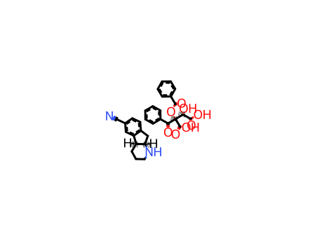 N#Cc1ccc2c(c1)[C@H]1CCCN[C@H]1C2.O=C(O[C@@](C(=O)O)(C(=O)c1ccccc1)[C@H](O)C(=O)O)c1ccccc1